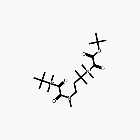 CN(CCC(C)(C)[N+](C)(C)C(=O)C(=O)OC(C)(C)C)C(=O)C(=O)[N+](C)(C)C(C)(C)C